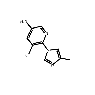 Cc1cn(-c2ncc(N)cc2Cl)cn1